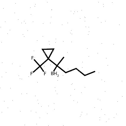 BC(C)(CCCC)C1(C(F)(F)F)CC1